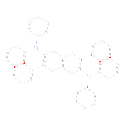 c1ccc(-c2cc3cc(N(c4ccccc4)c4ccccc4)c(-c4ccccc4)cc3cc2N(c2ccccc2)c2ccccc2)cc1